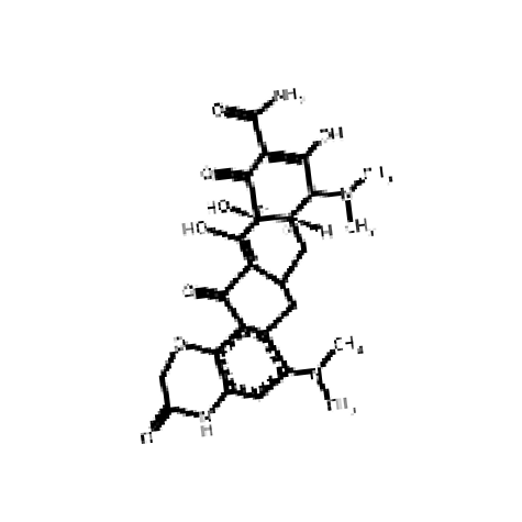 CN(C)c1cc2c(c3c1CC1C[C@H]4C(N(C)C)C(O)=C(C(N)=O)C(=O)[C@@]4(O)C(O)=C1C3=O)OCC(=O)N2